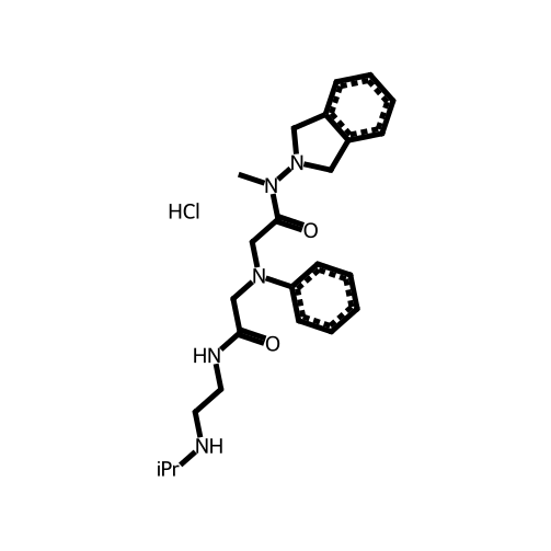 CC(C)NCCNC(=O)CN(CC(=O)N(C)N1Cc2ccccc2C1)c1ccccc1.Cl